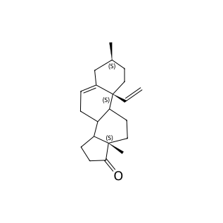 C=C[C@]12CC[C@H](C)CC1=CCC1C2CC[C@]2(C)C(=O)CCC12